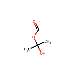 CC(C)(O)OC=O